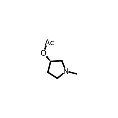 CC(=O)O[C@@H]1CCN(C)C1